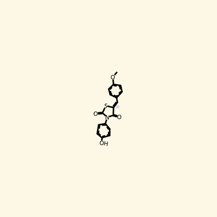 COc1ccc(/C=C2\SC(=O)N(c3ccc(O)cc3)C2=O)cc1